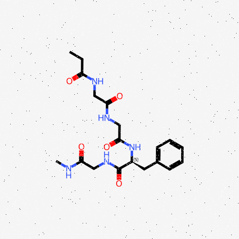 CCC(=O)NCC(=O)NCC(=O)N[C@@H](Cc1ccccc1)C(=O)NCC(=O)NC